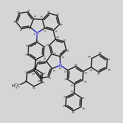 CC1C=C(c2ccc(-n3c4ccccc4c4cccc(-c5ccc6c(c5)c5ccccc5n6-c5cc(-c6ccccc6)cc(C6C=CC=CC6)c5)c43)cc2)C=CC1